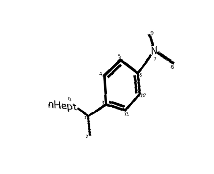 CCCCCCCC(C)c1ccc(N(C)C)cc1